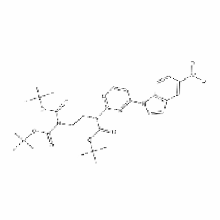 CC(C)(C)OC(=O)N(CCN(C(=O)OC(C)(C)C)c1nccc(-n2ccc3cc([N+](=O)[O-])ccc32)n1)C(=O)OC(C)(C)C